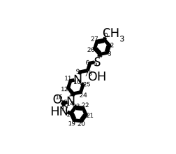 Cc1ccc(SCC(O)CN2CCC(n3c(=O)[nH]c4ccccc43)CC2)cc1